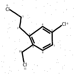 ClCCc1cc(Cl)ccc1CCl